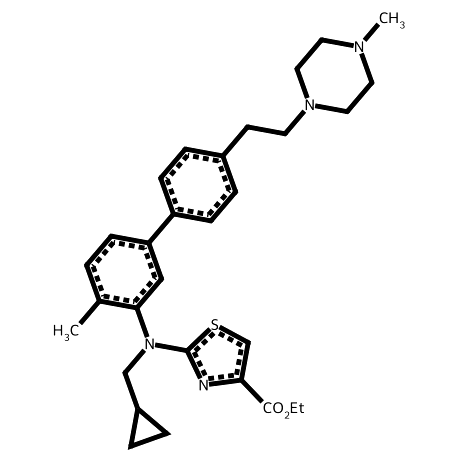 CCOC(=O)c1csc(N(CC2CC2)c2cc(-c3ccc(CCN4CCN(C)CC4)cc3)ccc2C)n1